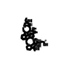 CCC1(O)C[C@H]2C[N@](CCc3c([nH]c4ccccc34)[C@@](C(=O)OC)(c3cc4c(cc3OC)N(C)C3CC5N(CC=C[C@@]5(CC)[C@@H](O)[C@]3(O)C(=O)NC[C@H](C)O)CCC4)C2)C1